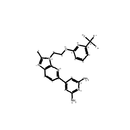 Cc1nc2ccc(-c3cc(N)nc(N)c3)nc2n1CCOc1cccc(C(F)(F)F)n1